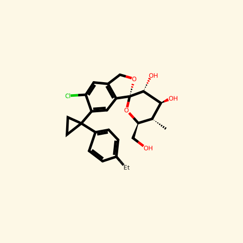 CCc1ccc(C2(c3cc4c(cc3Cl)CO[C@]43O[C@H](CO)[C@@H](C)[C@H](O)[C@H]3O)CC2)cc1